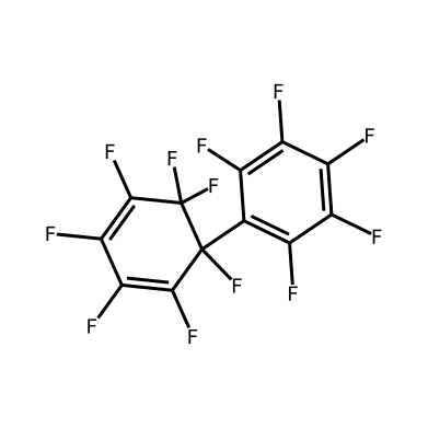 FC1=C(F)C(F)(F)C(F)(c2c(F)c(F)c(F)c(F)c2F)C(F)=C1F